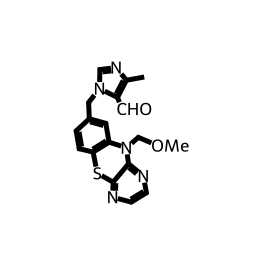 COCN1c2cc(Cn3cnc(C)c3C=O)ccc2Sc2nccnc21